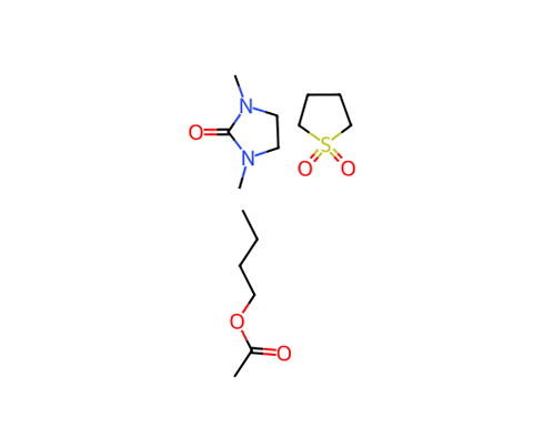 CCCCOC(C)=O.CN1CCN(C)C1=O.O=S1(=O)CCCC1